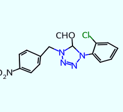 O=CC1N(Cc2ccc([N+](=O)[O-])cc2)N=NN1c1ccccc1Cl